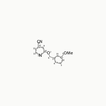 COc1cccc(COc2cc(C#N)ccn2)c1